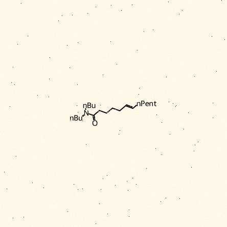 CCCCC/C=C/CCCCC(=O)N(CCCC)CCCC